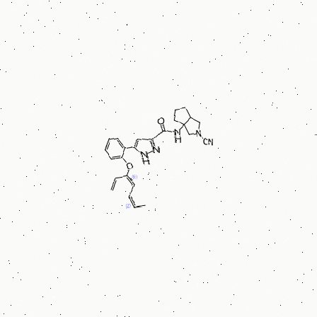 C=C/C(=C\C=C/C)Oc1ccccc1-c1cc(C(=O)NC23CCCC2CN(C#N)C3)n[nH]1